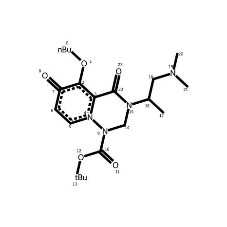 CCCCOc1c2n(ccc1=O)N(C(=O)OC(C)(C)C)CN(C(C)CN(C)C)C2=O